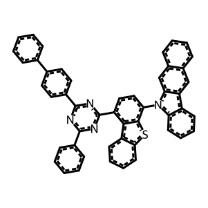 c1ccc(-c2ccc(-c3nc(-c4ccccc4)nc(-c4ccc(-n5c6ccccc6c6cc7ccccc7cc65)c5sc6ccccc6c45)n3)cc2)cc1